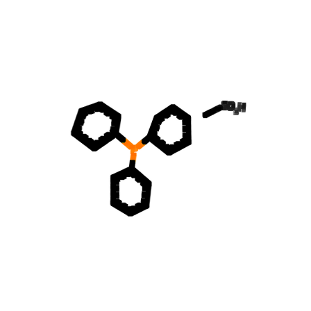 CS(=O)(=O)O.c1ccc(P(c2ccccc2)c2ccccc2)cc1